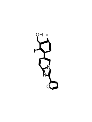 OCc1c(F)ccc(-c2ccc3nc(-c4ccco4)cn3c2)c1F